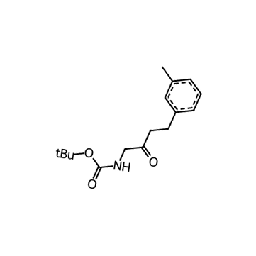 Cc1cccc(CCC(=O)CNC(=O)OC(C)(C)C)c1